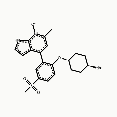 Cc1cc(-c2cc(S(C)(=O)=O)ccc2O[C@H]2CC[C@H](C(C)(C)C)CC2)c2cc[nH]c2[n+]1[O-]